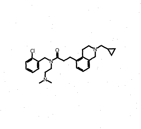 CN(C)CCN(Cc1ccccc1Cl)C(=O)CCc1cccc2c1CCN(CC1CC1)C2